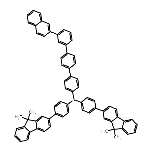 CC1(C)c2ccccc2-c2ccc(-c3ccc(N(c4ccc(-c5ccc(-c6cccc(-c7ccc8ccccc8c7)c6)cc5)cc4)c4ccc(-c5ccc6c(c5)C(C)(C)c5ccccc5-6)cc4)cc3)cc21